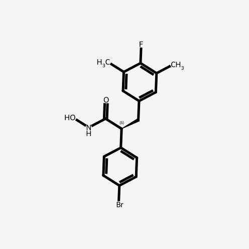 Cc1cc(C[C@H](C(=O)NO)c2ccc(Br)cc2)cc(C)c1F